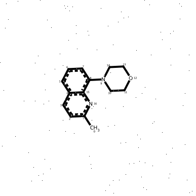 Cc1ccc2cccc(N3CCOCC3)c2n1